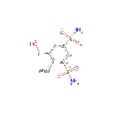 COc1c(CO)cc(S(N)(=O)=O)cc1S(N)(=O)=O